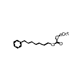 CCCCCCCCOC(=O)OCCCCCCCc1ccccc1